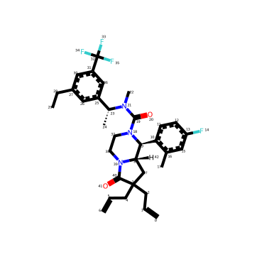 C=CCC1(CC=C)C[C@H]2[C@H](c3ccc(F)cc3C)N(C(=O)N(C)[C@H](C)c3cc(CC)cc(C(F)(F)F)c3)CCN2C1=O